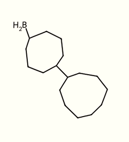 BC1CCCC(C2CCCCCCCC2)CCC1